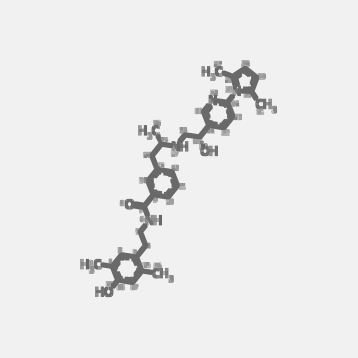 Cc1cc(CCNC(=O)c2cccc(C[C@@H](C)NC[C@@H](O)c3ccc(-n4c(C)ccc4C)nc3)c2)c(C)cc1O